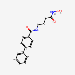 O=C(CCCNC(=O)c1ccc(-c2ccccc2)cc1)NO